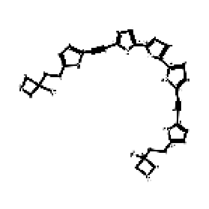 CCC1(CCc2ccc(C#Cc3ccc(-c4ccc(-c5ccc(C#Cc6ccc(CCC7(CC)COC7)s6)s5)s4)s3)s2)COC1